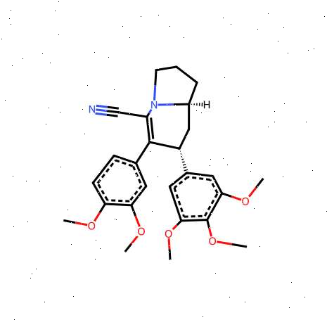 COc1ccc(C2=C(C#N)N3CCC[C@H]3C[C@@H]2c2cc(OC)c(OC)c(OC)c2)cc1OC